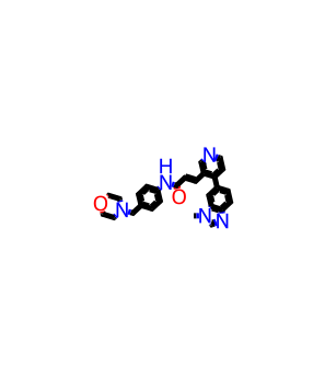 Cn1cnc2ccc(-c3ccncc3C=CC(=O)Nc3ccc(CN4CCOCC4)cc3)cc21